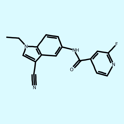 CCn1cc(C#N)c2cc(NC(=O)c3ccnc(F)c3)ccc21